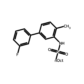 CCCCCCCCS(=O)(=O)Nc1cc(-c2cccc(F)c2)ccc1C